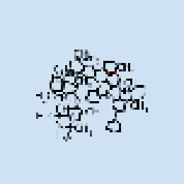 Cc1cc2c3c(c1)N1c4c(cc(-c5ccccc5)cc4C4(C)CCCCC14C)B3c1ccc(N(c3ccc4c(c3)C(C)(C)CCC4(C)C)c3cc4c(cc3C)C(C)(C)CCC4(C)C)cc1N2c1cc2c(cc1-c1ccccc1)C(C)(C)CCC2(C)C